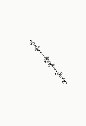 C=CC(=O)OCCOC(=O)NCCCCCCNC(=O)OBOC(=O)NCCCCCCNC(=O)OCCOC(=O)C=C